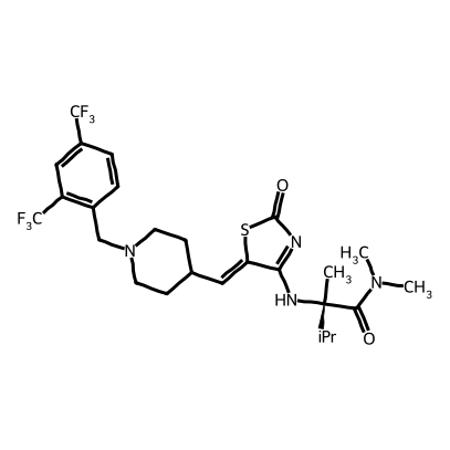 CC(C)[C@](C)(NC1=NC(=O)S/C1=C\C1CCN(Cc2ccc(C(F)(F)F)cc2C(F)(F)F)CC1)C(=O)N(C)C